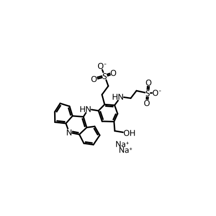 O=S(=O)([O-])CCNc1cc(CO)cc(Nc2c3ccccc3nc3ccccc23)c1CCS(=O)(=O)[O-].[Na+].[Na+]